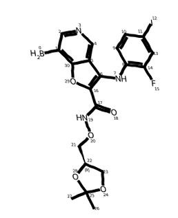 Bc1cncc2c(Nc3ccc(I)cc3F)c(C(=O)NOC[C@H]3COC(C)(C)O3)oc12